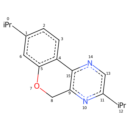 CC(C)c1ccc2c(c1)OCc1nc(C(C)C)cnc1-2